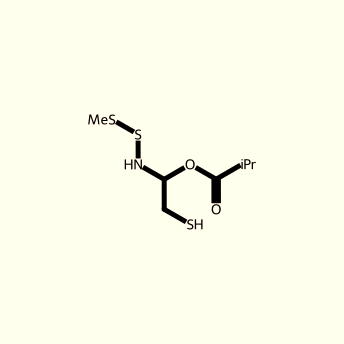 CSSNC(CS)OC(=O)C(C)C